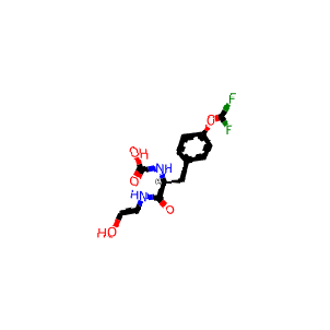 O=C(O)N[C@@H](Cc1ccc(OC(F)F)cc1)C(=O)NCCO